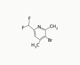 Cc1cc(C(F)F)nc(C)c1Br